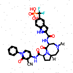 CC(=O)N1CC[C@H]2CC[C@@H](C(=O)Nc3ccn(-c4ccccc4)c(=O)c3C#N)N2C(=O)C(NC(=O)c2cc3cc(C(F)(F)P(=O)(O)O)ccc3[nH]2)C1